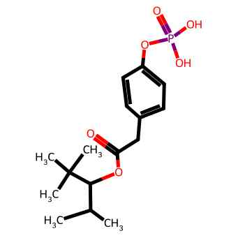 CC(C)C(OC(=O)Cc1ccc(OP(=O)(O)O)cc1)C(C)(C)C